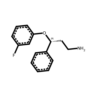 NCC[C@@H](Oc1cccc(F)c1)c1ccccc1